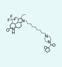 CCc1c(C)c2c3c(C(F)(F)F)cc(=O)[nH]c3ccc2n1CCCCCCCCCN1CCN(C(=O)c2ccco2)CC1